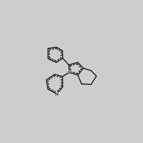 c1ccc(-c2cc3c(n2-c2cccnc2)CCCC3)cc1